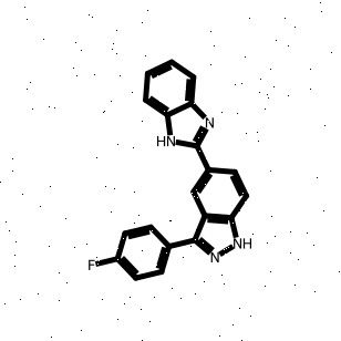 Fc1ccc(-c2n[nH]c3ccc(-c4nc5ccccc5[nH]4)cc23)cc1